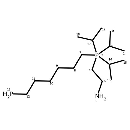 CC(C)P(CCN)(CCCCCCP)(C(C)C)C(C)C